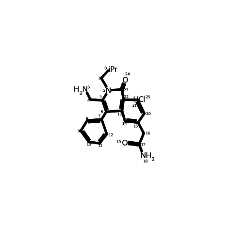 CC(C)Cn1c(CN)c(-c2ccccc2)c2cc(CC(N)=O)ccc2c1=O.Cl